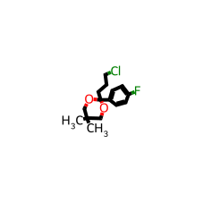 CC1(C)COC(CCCCl)(c2ccc(F)cc2)OC1